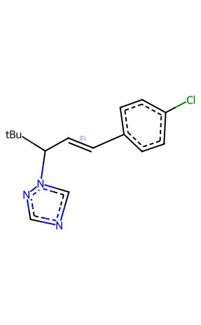 CC(C)(C)C(/C=C/c1ccc(Cl)cc1)n1cncn1